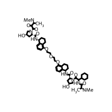 CN[C@@H](C)C(=O)NC(C(=O)N1C[C@@H](O)C[C@H]1C(=O)N[C@@H]1CCCc2c(OCCOCCOc3cccc4c3CCC[C@H]4NC(=O)[C@@H]3C[C@H](O)CN3C(=O)C(=O)[C@H](C)NC)cccc21)C1CCCCC1